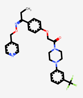 CCC(=NOCc1ccncc1)c1ccc(OCC(=O)N2CCN(c3cccc(C(F)(F)F)c3)CC2)cc1